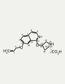 C=CCOc1ccc2ccnc(O[C@H]3CN[C@H](C(=O)O)C3)c2c1